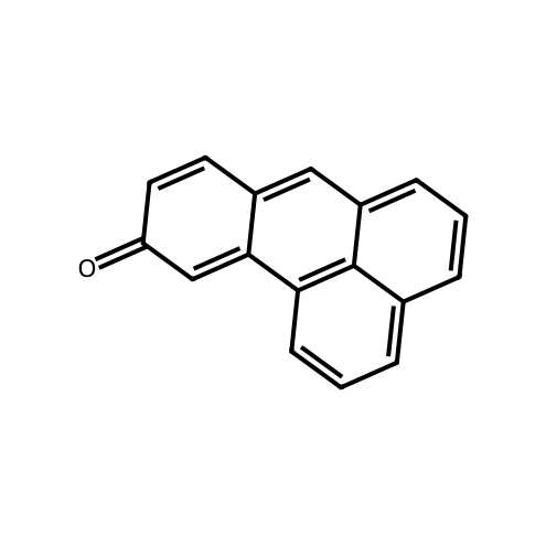 O=C1C=Cc2cc3cccc4cccc(c2=C1)c43